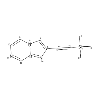 C[Si](C)(C)C#Cc1cn2ccncc2n1